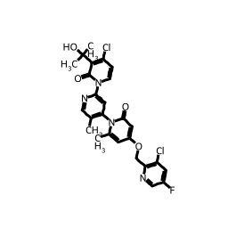 Cc1cnc(-n2ccc(Cl)c(C(C)(C)O)c2=O)cc1-n1c(C)cc(OCc2ncc(F)cc2Cl)cc1=O